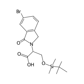 CC(C)(C)[Si](C)(C)OCC(C(=O)O)N1Cc2ccc(Br)cc2C1=O